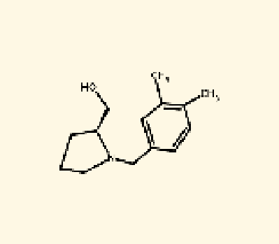 Cc1ccc(CN2CCC[C@H]2CO)cc1C